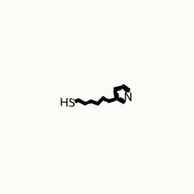 SCCCCCCc1cccnc1